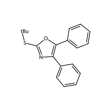 CC(C)(C)Sc1nc(-c2ccccc2)c(-c2ccccc2)o1